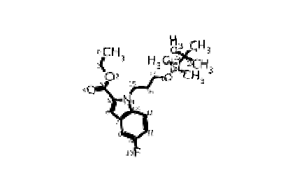 CCOC(=O)c1cc2cc(F)ccc2n1CCCO[Si](C)(C)C(C)(C)C